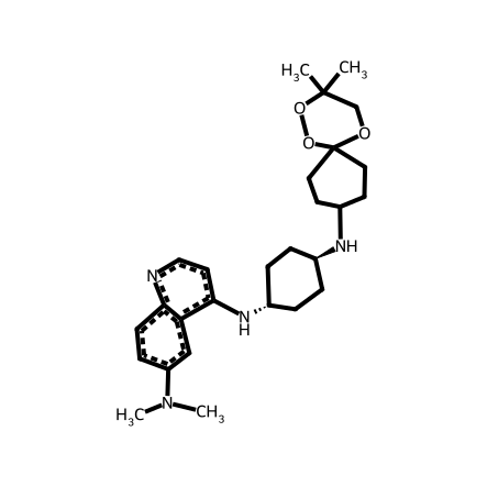 CN(C)c1ccc2nccc(N[C@H]3CC[C@H](NC4CCC5(CC4)OCC(C)(C)OO5)CC3)c2c1